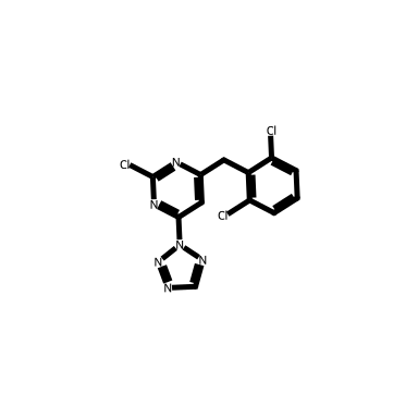 Clc1nc(Cc2c(Cl)cccc2Cl)cc(-n2ncnn2)n1